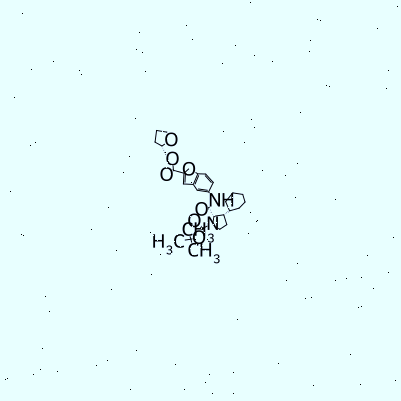 CC(C)(C)OC(=O)N1CC[C@@H](C2CCCCC2)[C@H]1C(=O)Nc1ccc2oc(C(=O)OC[C@@H]3CCCO3)cc2c1